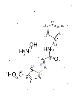 NO.O=C(/C=C/c1ccc(C(=O)O)s1)NCc1ccccc1